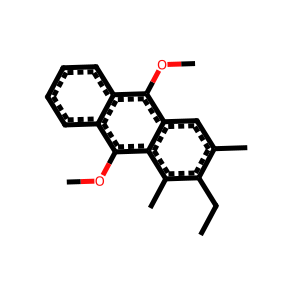 CCc1c(C)cc2c(OC)c3ccccc3c(OC)c2c1C